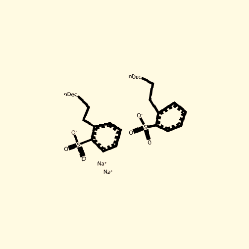 CCCCCCCCCCCCc1ccccc1S(=O)(=O)[O-].CCCCCCCCCCCCc1ccccc1S(=O)(=O)[O-].[Na+].[Na+]